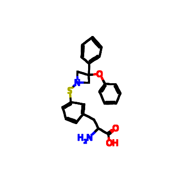 NC(Cc1cccc(SN2CC(Oc3ccccc3)(c3ccccc3)C2)c1)C(=O)O